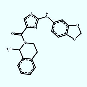 CC1c2ccccc2CCN1C(=O)c1csc(Nc2ccc3c(c2)OCO3)n1